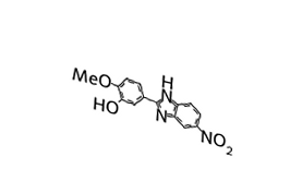 COc1ccc(-c2nc3cc([N+](=O)[O-])ccc3[nH]2)cc1O